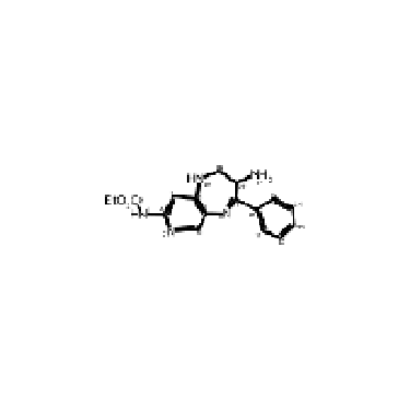 CCOC(=O)Nc1cc2c(cn1)N=C(c1ccccc1)C(N)CN2